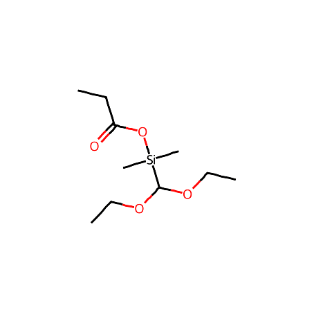 CCOC(OCC)[Si](C)(C)OC(=O)CC